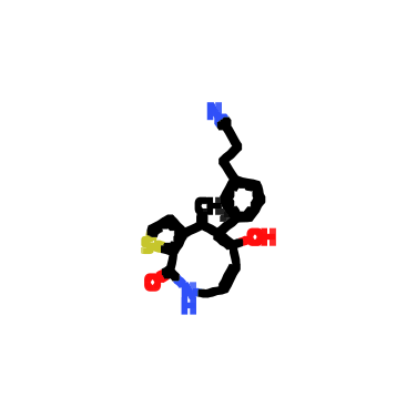 C=C1/C(c2cccc(CCC#N)c2)=C(O)\C=C/CNC(=O)c2sccc21